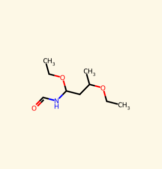 CCOC(C)CC(NC=O)OCC